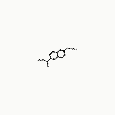 COCc1ccc2cc(C(=O)OC)ccc2c1